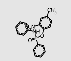 Cc1ccc(OP(=O)(Nc2ccccc2)c2ccccc2)c([N+](=O)[O-])c1